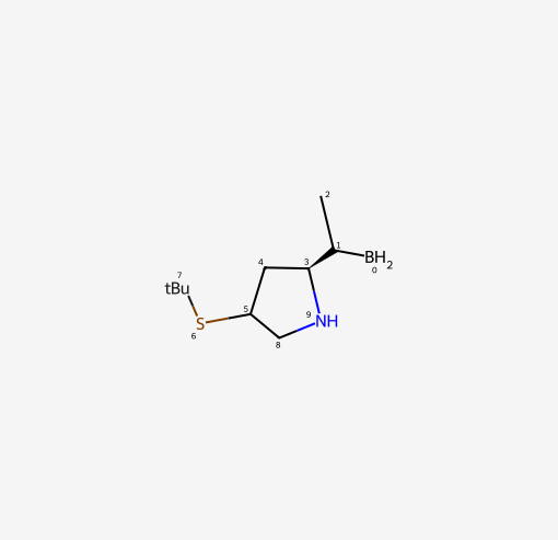 BC(C)[C@@H]1CC(SC(C)(C)C)CN1